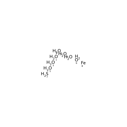 O.O.O.O.O.O.O.S.[Fe]